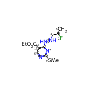 C=C(F)CNNc1nc(SC)ncc1C(=O)OCC